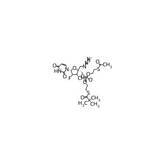 CC(=O)SCCOP(=O)(OCCSC(=O)C(C)(C)C)OC[C@@]1(CN=[N+]=[N-])O[C@@H](n2ccc(=O)[nH]c2=O)[C@H](F)[C@@H]1C